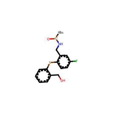 CC(C)(C)[S+]([O-])NCc1cc(F)ccc1Sc1ccccc1CO